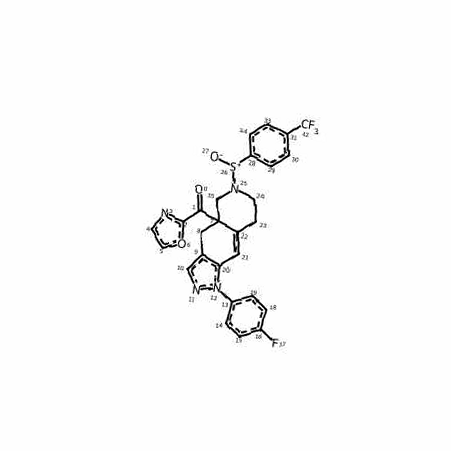 O=C(c1ncco1)C12Cc3cnn(-c4ccc(F)cc4)c3C=C1CCN([S+]([O-])c1ccc(C(F)(F)F)cc1)C2